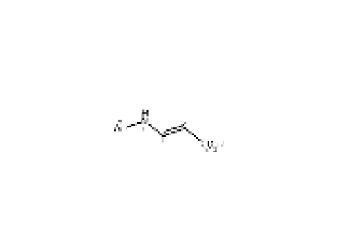 CC(=O)NC=CC(=O)O